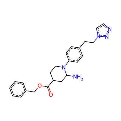 NC1CC(C(=O)OCc2ccccc2)CCN1c1ccc(CCn2ccnn2)cc1